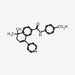 CC1(C)CC=C(c2ccncc2)c2cc(C(=O)Nc3ccc(C(=O)O)cc3)ccc21